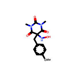 COc1ccc(CC2(NO)C(=O)N(C)C(=O)N(C)C2=O)cc1